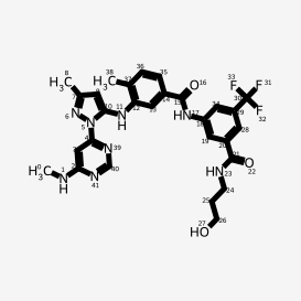 CNc1cc(-n2nc(C)cc2Nc2cc(C(=O)Nc3cc(C(=O)NCCCO)cc(C(F)(F)F)c3)ccc2C)ncn1